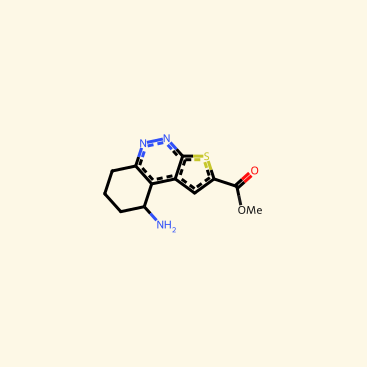 COC(=O)c1cc2c3c(nnc2s1)CCCC3N